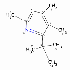 Cc1cc(C)c(C)c(C(C)(C)C)n1